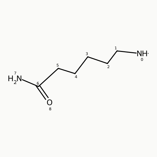 [NH]CCCCCC(N)=O